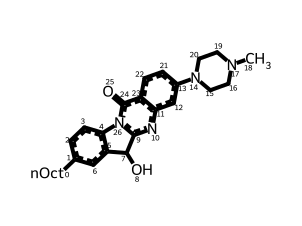 CCCCCCCCc1ccc2c(c1)C(O)c1nc3cc(N4CCN(C)CC4)ccc3c(=O)n1-2